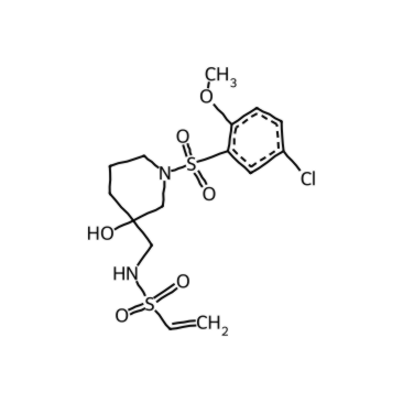 C=CS(=O)(=O)NCC1(O)CCCN(S(=O)(=O)c2cc(Cl)ccc2OC)C1